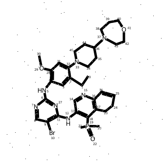 CCc1cc(Nc2ncc(Br)c(Nc3cnc4c(c3P(C)(C)=O)CCC=C4)n2)c(OC)cc1N1CCC(N2CCCOCC2)CC1